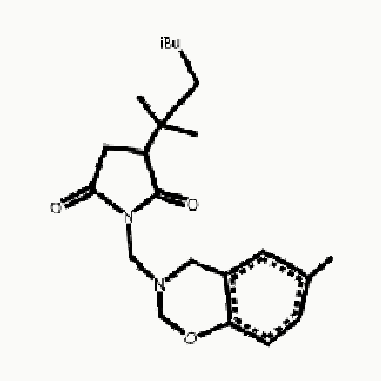 CCC(C)CC(C)(C)C1CC(=O)N(CN2COc3ccc(C)cc3C2)C1=O